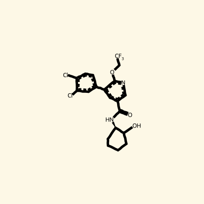 O=C(N[C@@H]1CCCCC1O)c1cnc(OCC(F)(F)F)c(-c2ccc(Cl)c(Cl)c2)c1